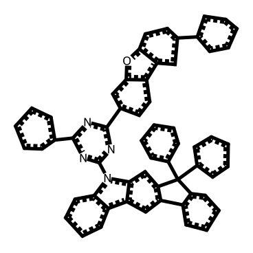 c1ccc(-c2ccc3oc4cc(-c5nc(-c6ccccc6)nc(-n6c7ccccc7c7cc8c(cc76)C(c6ccccc6)(c6ccccc6)c6ccccc6-8)n5)ccc4c3c2)cc1